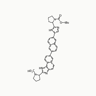 CC(C)(C)OC(=O)N1CCCC1c1ncc(-c2ccc3cc(-c4ccc5c(ccc6nc(C7CCCN7C(=O)O)[nH]c65)c4)ccc3c2)[nH]1